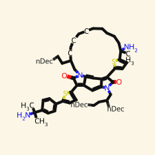 CCCCCCCCCCCCC1CCCCCCCCCCC(C)(N)c2ccc(s2)C2=c3cc4c(cc3N(CC(CCCCCCCCCC)CCCCCCCCCCCC)C2=O)=C(c2ccc(-c3ccc(C(C)(C)N)cc3)s2)C(=O)N4C1